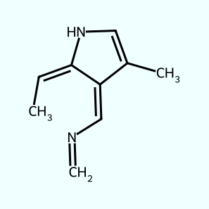 C=N/C=c1/c(C)c[nH]/c1=C/C